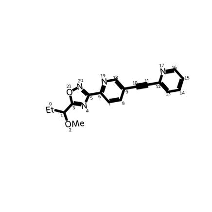 CCC(OC)c1nc(-c2ccc(C#Cc3ccccn3)cn2)no1